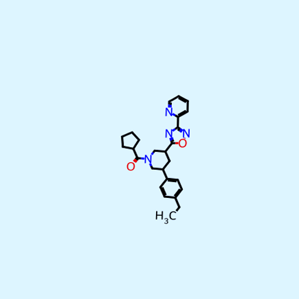 CCc1ccc(C2CC(c3nc(-c4ccccn4)no3)CN(C(=O)C3CCCC3)C2)cc1